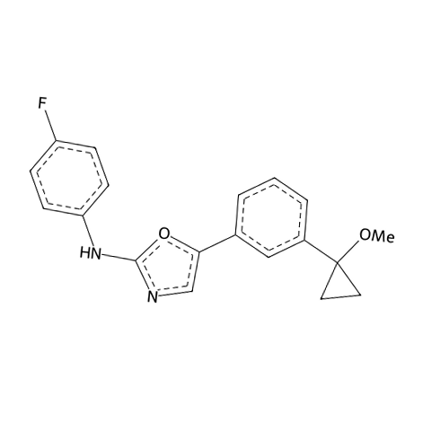 COC1(c2cccc(-c3cnc(Nc4ccc(F)cc4)o3)c2)CC1